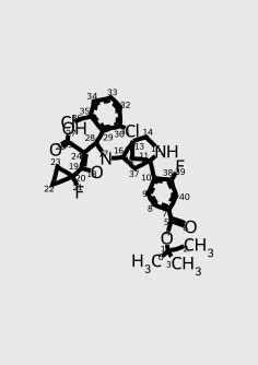 CC(C)(C)OC(=O)c1ccc(C23CC(CN2)C(N2OC(C4(F)CC4)=C(C(=O)O)C2c2c(Cl)cccc2Cl)C3)c(F)c1